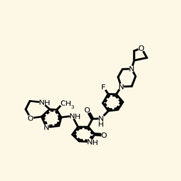 Cc1c(Nc2cc[nH]c(=O)c2C(=O)Nc2ccc(N3CCN(C4COC4)CC3)c(F)c2)cnc2c1NCCO2